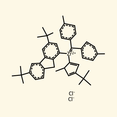 Cc1ccc([C](c2ccc(C)cc2)=[Zr+2]([C]2=CC(C(C)(C)C)=CC2C)[c]2cc(C(C)(C)C)cc3c2Cc2ccc(C(C)(C)C)cc2-3)cc1.[Cl-].[Cl-]